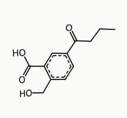 CCCC(=O)c1ccc(CO)c(C(=O)O)c1